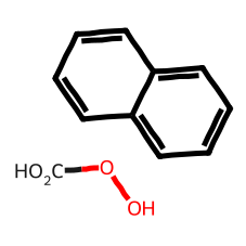 O=C(O)OO.c1ccc2ccccc2c1